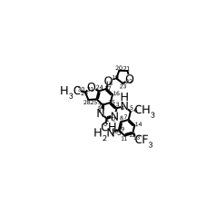 Cc1nc(N[C@H](C)c2cc(N)cc(C(F)(F)F)c2)c2cc(O[C@H]3CCOC3)c3c(c2n1)CC(C)O3